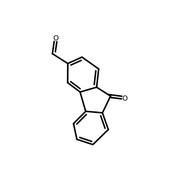 O=Cc1ccc2c(c1)-c1ccccc1C2=O